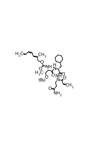 C=C/C=C\C=C(/C)COC(=O)N[C@H](C(=O)N[C@@H](CC1CCCCC1)C(=O)NN(CCC(N)=O)C(=O)C=C)[C@@H](C)OC(C)(C)C